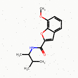 COc1cccc2cc(C(=O)NC(C)C(C)C)oc12